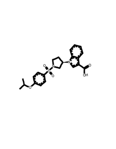 CC(C)Oc1ccc(S(=O)(=O)N2CC[C@@H](n3cc(C(=O)O)c4ccccc43)C2)cc1